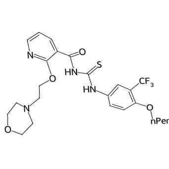 CCCCCOc1ccc(NC(=S)NC(=O)c2cccnc2OCCN2CCOCC2)cc1C(F)(F)F